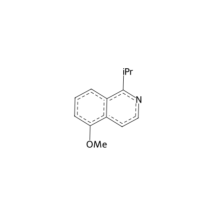 COc1cccc2c(C(C)C)nccc12